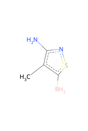 Bc1snc(N)c1C